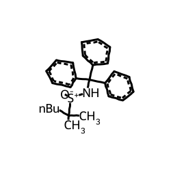 CCCCC(C)(C)[S+]([O-])NC(c1ccccc1)(c1ccccc1)c1ccccc1